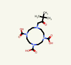 CC(C)(C)C(=O)CN1CCN(C(=O)O)CCN(C(=O)O)CCN(C(=O)O)CC1